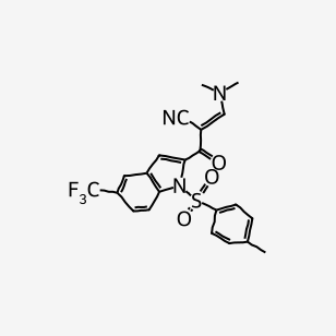 Cc1ccc(S(=O)(=O)n2c(C(=O)C(C#N)=CN(C)C)cc3cc(C(F)(F)F)ccc32)cc1